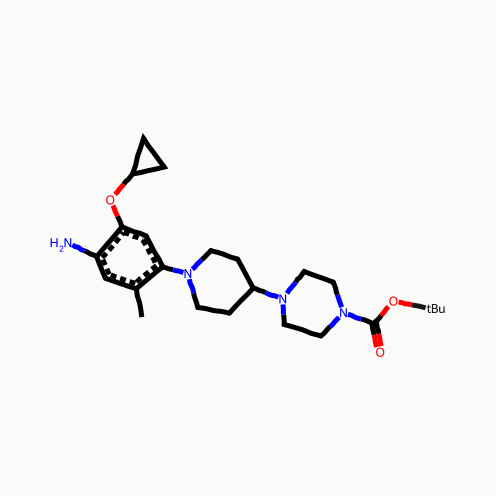 Cc1cc(N)c(OC2CC2)cc1N1CCC(N2CCN(C(=O)OC(C)(C)C)CC2)CC1